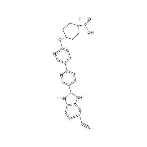 CN1c2ccc(C#N)cc2NC1c1ccc(-c2ccc(O[C@H]3CC[C@](C)(C(=O)O)CC3)nc2)nc1